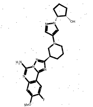 COc1cc2nc(N)n3nc([C@@H]4CCCN(c5cnn([C@@H]6CCC[C@@H]6O)c5)C4)nc3c2cc1F